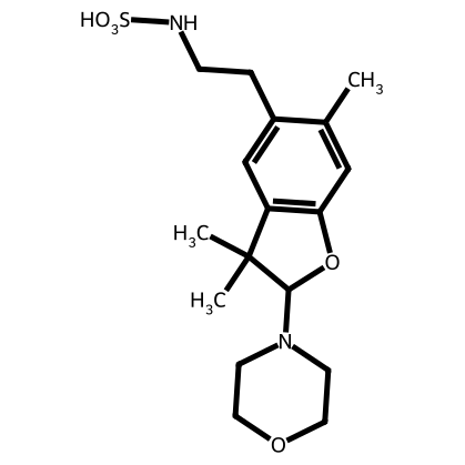 Cc1cc2c(cc1CCNS(=O)(=O)O)C(C)(C)C(N1CCOCC1)O2